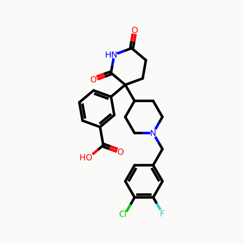 O=C1CCC(c2cccc(C(=O)O)c2)(C2CCN(Cc3ccc(Cl)c(F)c3)CC2)C(=O)N1